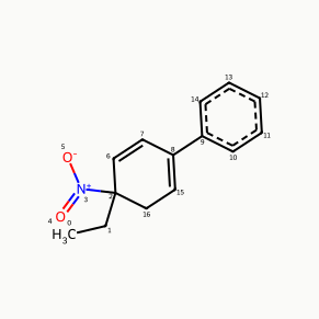 CCC1([N+](=O)[O-])C=CC(c2ccccc2)=CC1